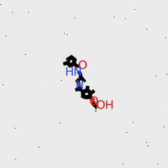 Cc1cccc(C(=O)NCC2CN(C(C)c3ccc(OC[C@@H](C)O)c(C)c3C)C2)c1